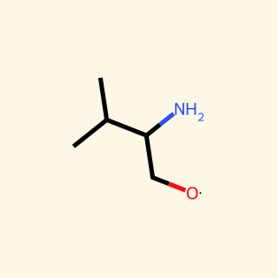 CC(C)C(N)C[O]